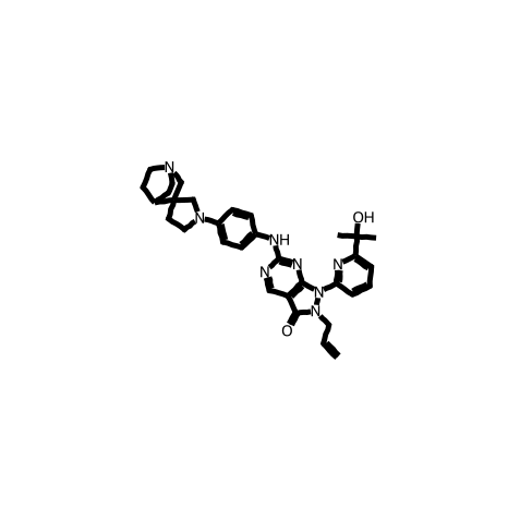 C=CCn1c(=O)c2cnc(Nc3ccc(N4CCC5(CN6CCC5CC6)C4)cc3)nc2n1-c1cccc(C(C)(C)O)n1